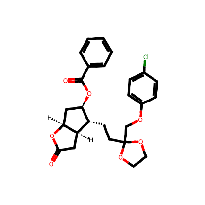 O=C1C[C@@H]2[C@@H](CCC3(COc4ccc(Cl)cc4)OCCO3)[C@H](OC(=O)c3ccccc3)C[C@@H]2O1